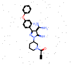 C#CC(=O)N1CCCC(N2N=C(c3ccc(Oc4ccccc4)cc3)C(=C(N)N)C2=N)C1